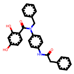 O=C(Cc1ccccc1)Nc1ccc(N(Cc2ccccc2)C(=O)c2ccc(O)cc2O)cc1